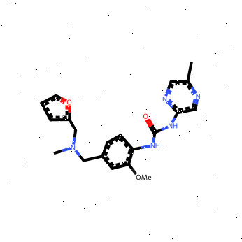 COc1cc(CN(C)Cc2ccco2)ccc1NC(=O)Nc1cnc(C)cn1